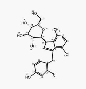 Cc1ccc(Cl)c2c(Cc3ccc(O)cc3F)cn([C@@H]3O[C@H](CO)[C@@H](O)[C@H](O)[C@H]3O)c12